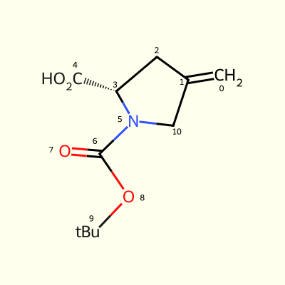 C=C1C[C@@H](C(=O)O)N(C(=O)OC(C)(C)C)C1